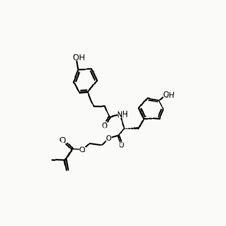 C=C(C)C(=O)OCCOC(=O)[C@H](Cc1ccc(O)cc1)NC(=O)CCc1ccc(O)cc1